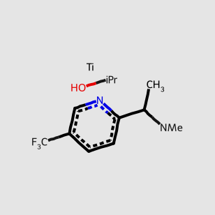 CC(C)O.CNC(C)c1ccc(C(F)(F)F)cn1.[Ti]